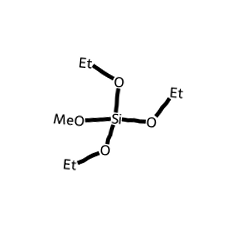 CCO[Si](OC)(OCC)OCC